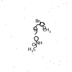 CCC(=O)N[C@H]1CC[C@H](CCN2CCC(Cc3cc(OC)ccc3Br)C2)CC1